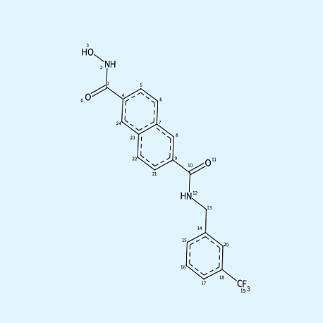 O=C(NO)c1ccc2cc(C(=O)NCc3cccc(C(F)(F)F)c3)ccc2c1